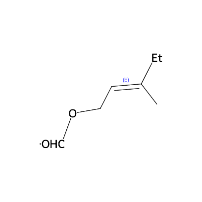 CC/C(C)=C/CO[C]=O